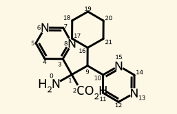 NC(C(=O)O)(c1ccncn1)C(c1ccncn1)C1CCCCC1